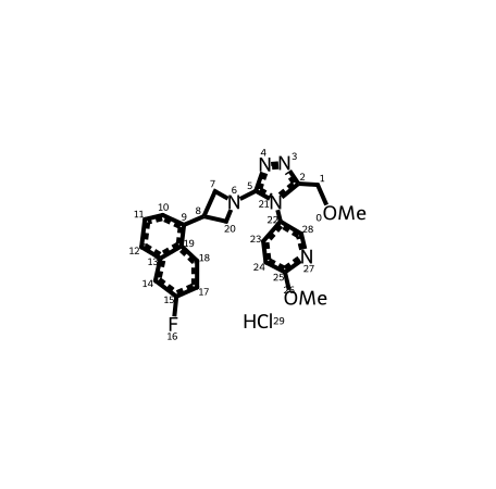 COCc1nnc(N2CC(c3cccc4cc(F)ccc34)C2)n1-c1ccc(OC)nc1.Cl